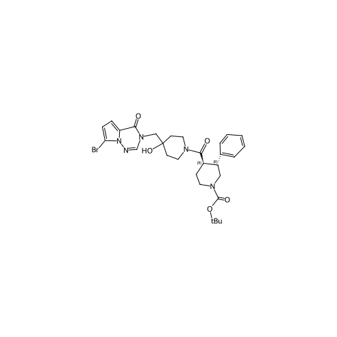 CC(C)(C)OC(=O)N1CC[C@@H](C(=O)N2CCC(O)(Cn3cnn4c(Br)ccc4c3=O)CC2)[C@H](c2ccccc2)C1